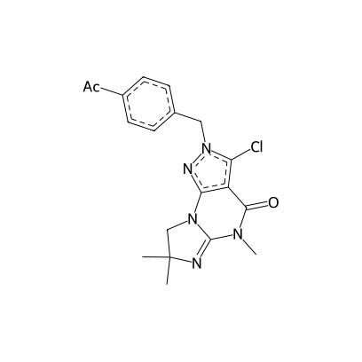 CC(=O)c1ccc(Cn2nc3c(c2Cl)C(=O)N(C)C2=NC(C)(C)CN23)cc1